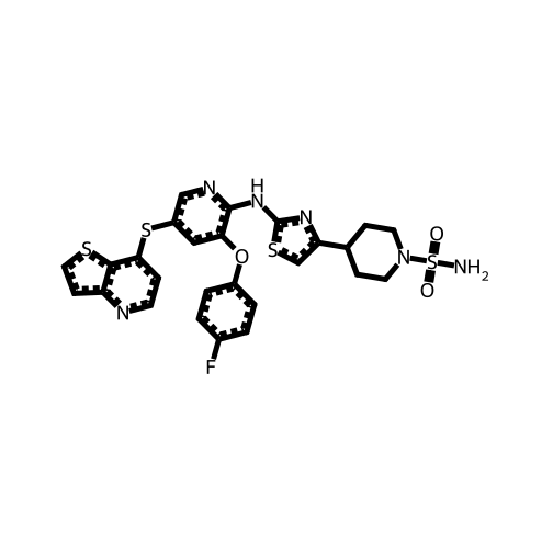 NS(=O)(=O)N1CCC(c2csc(Nc3ncc(Sc4ccnc5ccsc45)cc3Oc3ccc(F)cc3)n2)CC1